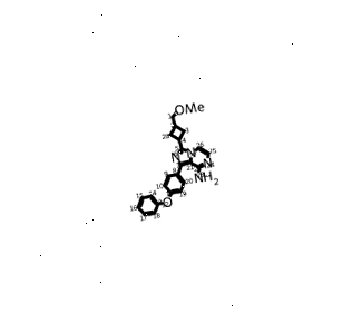 COCC1CC(c2nc(-c3ccc(Oc4ccccc4)cc3)c3c(N)nccn23)C1